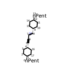 CCCCC[C@H]1CC[C@H](C#C/C=C/[C@H]2CC[C@H](CCCCC)CC2)CC1